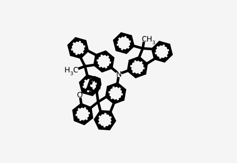 CC1(c2ccccc2)c2ccccc2-c2ccc(N(c3ccc4c(c3)C(C)(c3ccccc3)c3ccccc3-4)c3ccc4c(c3)C3(c5ccccc5Oc5ccccc53)c3ccccc3-4)cc21